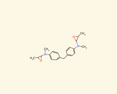 CC1OC1N(C)c1ccc(Cc2ccc(N(C)C3OC3C)cc2)cc1